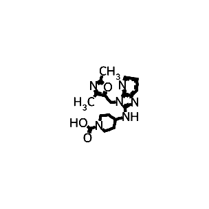 Cc1nc(C)c(Cn2c(NC3CCN(C(=O)O)CC3)nc3cccnc32)o1